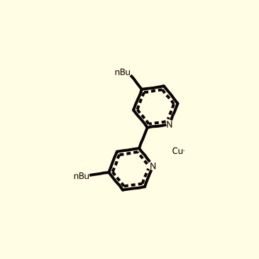 CCCCc1ccnc(-c2cc(CCCC)ccn2)c1.[Cu]